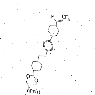 CCCCCC1COC(C2CCC(CCc3ccc(C4CCC(/C(F)=C/C(F)(F)F)CC4)cc3)CC2)OC1